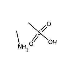 CN.CS(=O)(=O)O